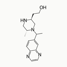 CC(c1ccc2nccnc2c1)N1C[C@H](CCO)NC[C@H]1C